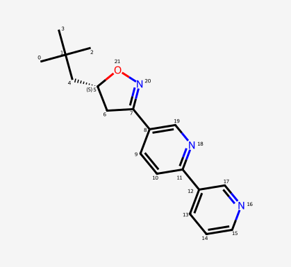 CC(C)(C)C[C@H]1CC(c2ccc(-c3cccnc3)nc2)=NO1